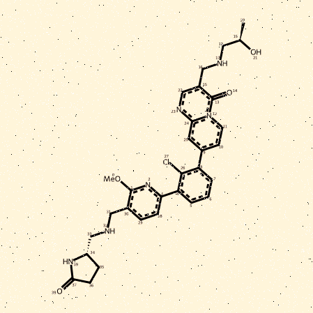 COc1nc(-c2cccc(-c3ccn4c(=O)c(CNC[C@@H](C)O)cnc4c3)c2Cl)ccc1CNC[C@@H]1CCC(=O)N1